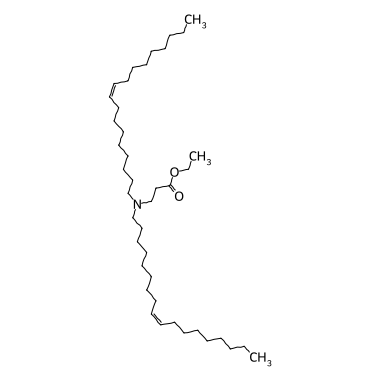 CCCCCCCC/C=C\CCCCCCCCN(CCCCCCCC/C=C\CCCCCCCC)CCC(=O)OCC